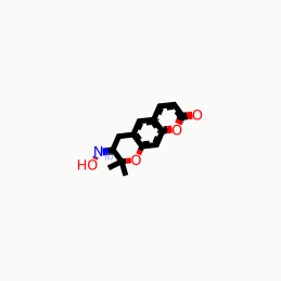 CC1(C)Oc2cc3oc(=O)ccc3cc2C/C1=N/O